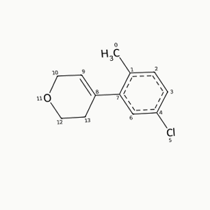 Cc1ccc(Cl)cc1C1=CCOCC1